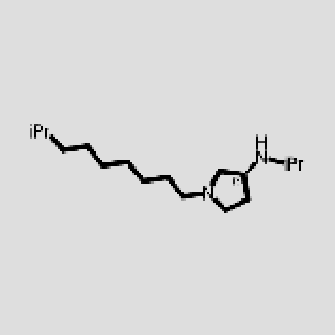 CC(C)CCCCCCCN1CC[C@H](NC(C)C)C1